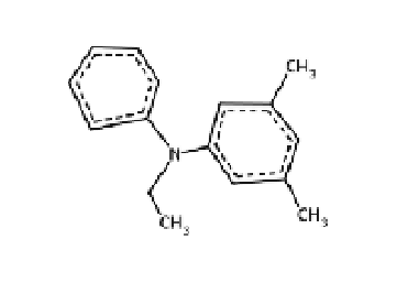 CCN(c1ccccc1)c1cc(C)cc(C)c1